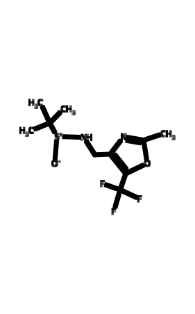 Cc1nc(CN[S+]([O-])C(C)(C)C)c(C(F)(F)F)o1